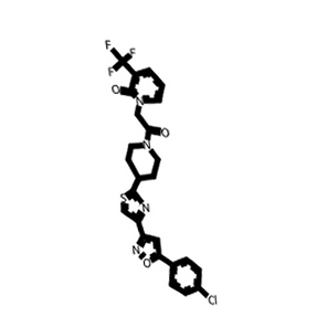 O=C(Cn1cccc(C(F)(F)F)c1=O)N1CCC(c2nc(-c3cc(-c4ccc(Cl)cc4)on3)cs2)CC1